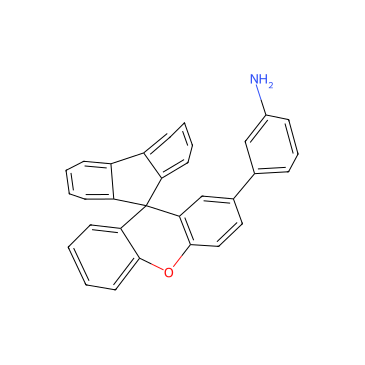 Nc1cccc(-c2ccc3c(c2)C2(c4ccccc4O3)c3ccccc3-c3ccccc32)c1